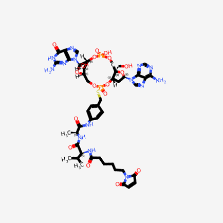 CC(C)[C@H](NC(=O)CCCCCN1C(=O)C=CC1=O)C(=O)N[C@@H](C)C(=O)Nc1ccc(CSP2(=O)OC[C@H]3O[C@@H](n4cnc5c(=O)[nH]c(N)nc54)[C@H](OP(=O)(O)OC[C@@]4(CO)O[C@@H](n5cnc6c(N)ncnc65)C[C@@H]4O2)[C@@H]3O)cc1